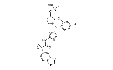 CC(C)(C)[Si](C)(C)OC1CCN([C@@H](c2cnc(NC(=O)C3(c4ccc5c(c4)OCO5)CC3)s2)c2ccc(F)cc2Cl)C1